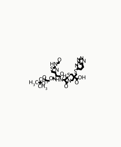 CC(C)(C)OC(=O)CON=C(C(=O)NC1C(=O)N2CC(CSc3ccc4nnnn4n3)(C(=O)O)CS[C@H]12)c1csc(NC=O)n1